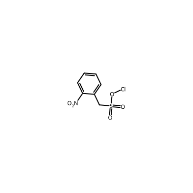 O=[N+]([O-])c1ccccc1CS(=O)(=O)OCl